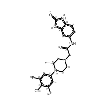 C[C@@H]1CN(CC(=O)Nc2ccc3[nH]c(=O)oc3c2)CCN1c1cc(F)c(Cl)c(F)c1